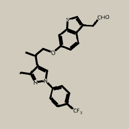 Cc1nn(-c2ccc(C(F)(F)F)cc2)cc1C(C)COc1ccc2c(CC=O)csc2c1